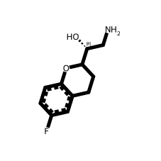 NC[C@@H](O)C1CCc2cc(F)ccc2O1